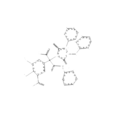 CC(C)(C)C(=O)C(C(=O)Nc1ccccc1)(c1cc(N)c(Cl)c(C(N)=O)c1)n1c(=O)n(Cc2ccccc2)n(-c2ccccc2)c1=O